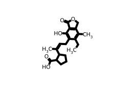 CCc1c(C)c2c(c(O)c1C/C=C(/C)C1CCCC1C(=O)O)C(=O)OC2